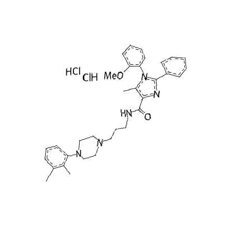 COc1ccccc1-n1c(-c2ccccc2)nc(C(=O)NCCCN2CCN(c3cccc(C)c3C)CC2)c1C.Cl.Cl